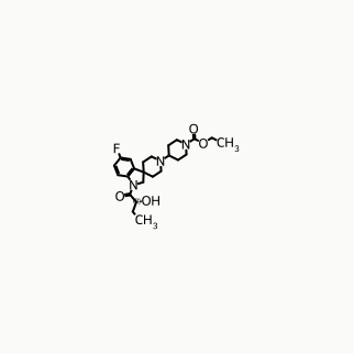 CCOC(=O)N1CCC(N2CCC3(CC2)CN(C(=O)[C@H](O)CC)c2ccc(F)cc23)CC1